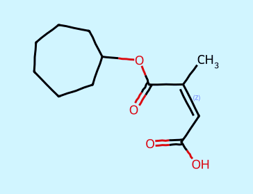 C/C(=C/C(=O)O)C(=O)OC1CCCCCC1